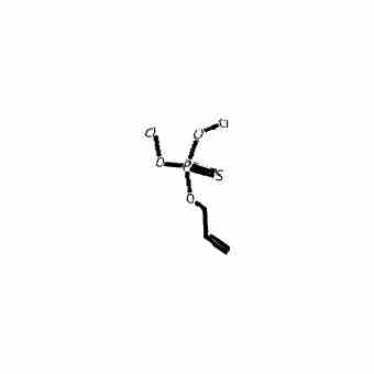 C=CCOP(=S)(OCl)OCl